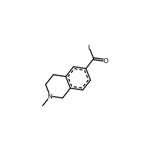 CN1CCc2cc(C(=O)I)ccc2C1